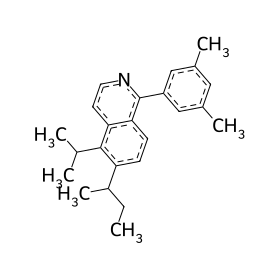 CCC(C)c1ccc2c(-c3cc(C)cc(C)c3)nccc2c1C(C)C